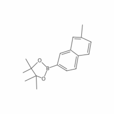 Cc1ccc2ccc(B3OC(C)(C)C(C)(C)O3)cc2c1